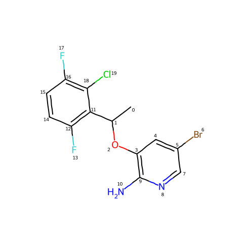 CC(Oc1cc(Br)cnc1N)c1c(F)ccc(F)c1Cl